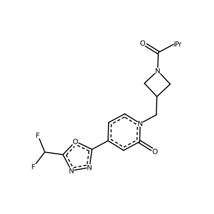 CC(C)C(=O)N1CC(Cn2ccc(-c3nnc(C(F)F)o3)cc2=O)C1